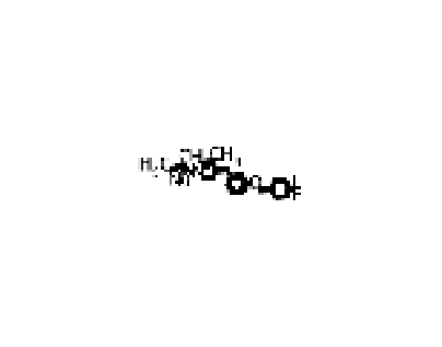 Cc1noc(N2CC/C(=C\c3cccc(OCC4CCC(F)(F)CC4)c3)C(C)C2)c1C